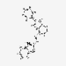 C(=Cc1cccc2oc(-c3ccccc3)nc12)c1nc2ccccc2o1